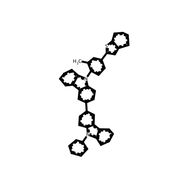 Cc1cc(-c2cc3ccccc3s2)ccc1-n1c2ccccc2c2cc(-c3ccc4c(c3)c3ccccc3n4-c3ccccc3)ccc21